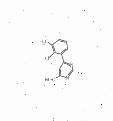 COc1cc(-c2cccc(C)c2Cl)ncn1